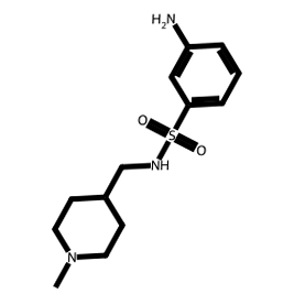 CN1CCC(CNS(=O)(=O)c2cccc(N)c2)CC1